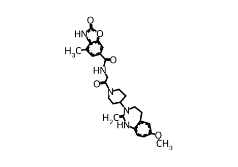 C=C1Nc2ccc(OC)cc2CCN1C1CCN(C(=O)CNC(=O)c2cc(C)c3[nH]c(=O)oc3c2)CC1